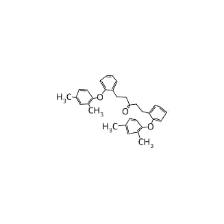 Cc1ccc(Oc2ccccc2CCC(=O)CCc2ccccc2Oc2ccc(C)cc2C)c(C)c1